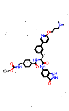 CN(C)CCCOc1ccc(-c2cccc(C[C@H](NC(=O)[C@H]3CC[C@H](CNC(=O)OC(C)(C)C)CC3)C(=O)Nc3ccc4c(=O)[nH][nH]c4c3)c2)cn1